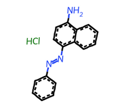 Cl.Nc1ccc(/N=N/c2ccccc2)c2ccccc12